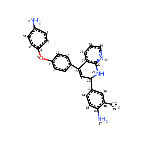 Nc1ccc(Oc2ccc(C3=CC(c4ccc(N)c(C(F)(F)F)c4)Nc4ncccc43)cc2)cc1